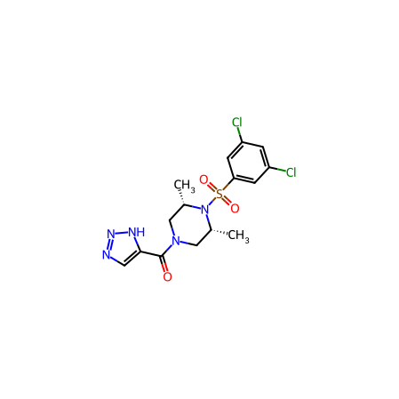 C[C@@H]1CN(C(=O)c2cnn[nH]2)C[C@H](C)N1S(=O)(=O)c1cc(Cl)cc(Cl)c1